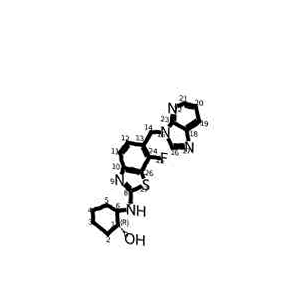 O[C@@H]1CCCCC1Nc1nc2ccc(Cn3cnc4cccnc43)c(F)c2s1